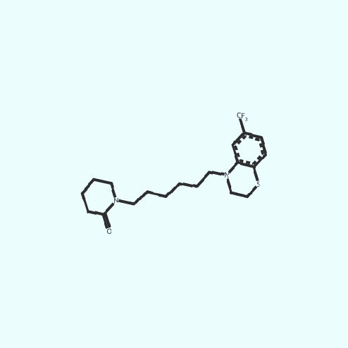 O=C1CCCCN1CCCCCCN1CCSc2ccc(C(F)(F)F)cc21